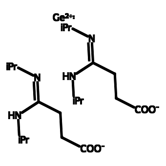 CC(C)N=C(CCC(=O)[O-])NC(C)C.CC(C)N=C(CCC(=O)[O-])NC(C)C.[Ge+2]